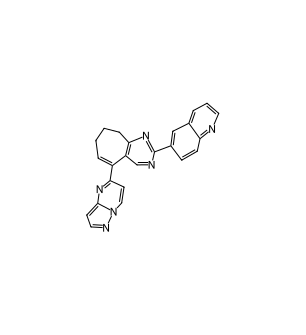 C1=C(c2ccn3nccc3n2)c2cnc(-c3ccc4ncccc4c3)nc2CCC1